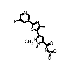 C.Cc1nc(-c2cncc(F)c2)sc1-c1cc(C(=O)N=S(=O)=O)n(C)n1